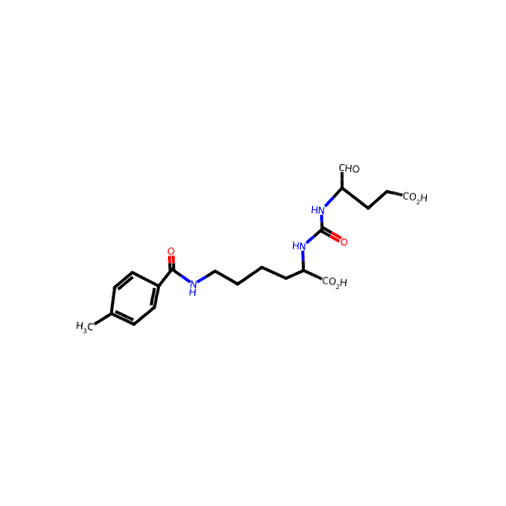 Cc1ccc(C(=O)NCCCCC(NC(=O)NC(C=O)CCC(=O)O)C(=O)O)cc1